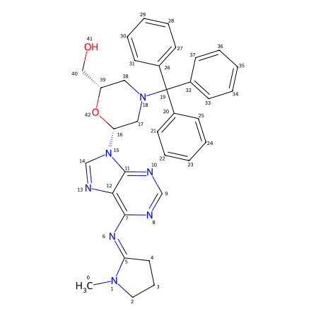 CN1CCC/C1=N\c1ncnc2c1ncn2[C@H]1CN(C(c2ccccc2)(c2ccccc2)c2ccccc2)C[C@@H](CO)O1